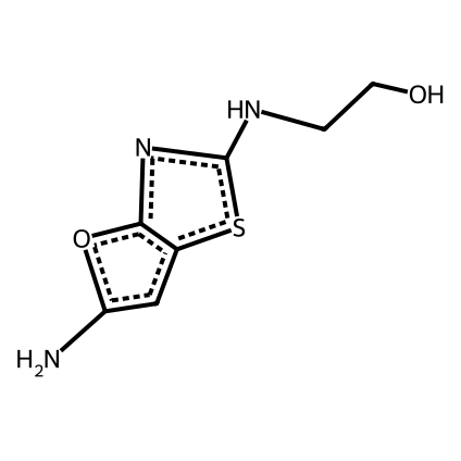 Nc1cc2sc(NCCO)nc2o1